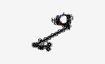 CO[C@@H]1/C=C/C=C(\C)Cc2cc(C)c(Cl)c(c2)N(C)C(=O)C[C@H](OC(=O)[C@H](C)N(C)C(=O)CCOCCOCCOCCOCCOCCOCCNC(=O)CCn2c(CN(C)N(C)C(=O)OCC3c4ccccc4-c4ccccc43)cc3ccccc32)[C@]2(C)OC2[C@H](C)[C@@H]2C[C@@]1(O)NC(=O)O2